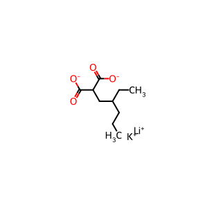 CCCC(CC)CC(C(=O)[O-])C(=O)[O-].[K+].[Li+]